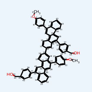 COc1ccc(-c2cc3c4ccc(-c5ccc6c(c5)c(-c5ccc(OC)cc5)cc5c7ccccc7c(-c7ccc(CO)cc7)cc65)cc4c(-c4ccc(CO)cc4)cc3c3ccccc23)cc1